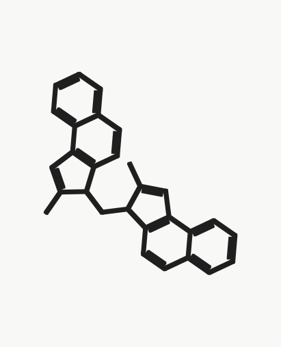 CC1=Cc2c(ccc3ccccc23)C1CC1C(C)=Cc2c1ccc1ccccc21